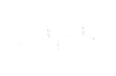 CCOC(=O)C(Cl)CSC(=N)N